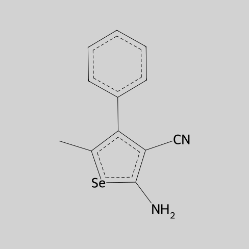 Cc1[se]c(N)c(C#N)c1-c1ccccc1